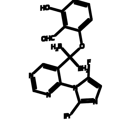 BC(B)(Oc1cccc(O)c1C=O)c1cncnc1-n1c(F)cnc1C(C)C